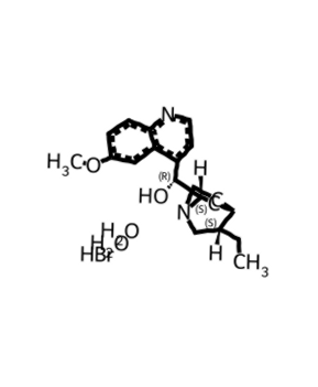 Br.CC[C@@H]1CN2CCC1C[C@H]2[C@H](O)c1ccnc2ccc(OC)cc12.O.O